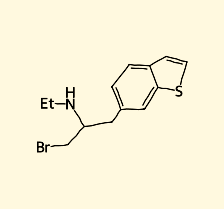 CCNC(CBr)Cc1ccc2ccsc2c1